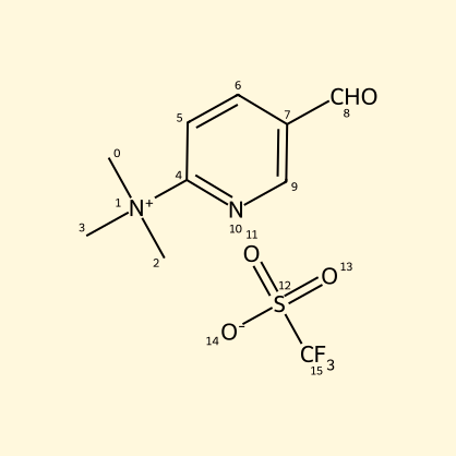 C[N+](C)(C)c1ccc(C=O)cn1.O=S(=O)([O-])C(F)(F)F